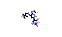 O=c1[nH]cc(-c2cc(N3CCC4(COC4)C3)c3nccn3n2)c(=O)[nH]1